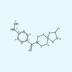 CC1CC2(CCN(C(=O)c3ccc(NO)cc3)CC2)CO1